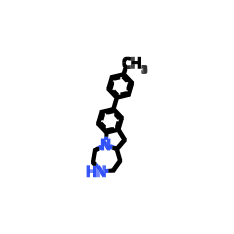 Cc1ccc(-c2ccc3c(c2)CC2CCNCCN32)cc1